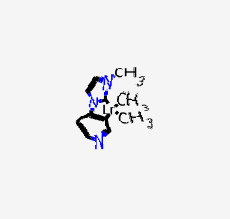 CN1C=CN2c3ccnc[c]3[Lr]([CH3])([CH3])[CH]12